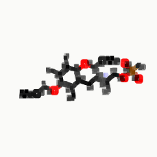 COCOc1c(C)c(C)c(OCOC)c(C/C=C(\C)COS(C)(=O)=O)c1C